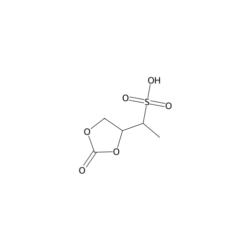 CC(C1COC(=O)O1)S(=O)(=O)O